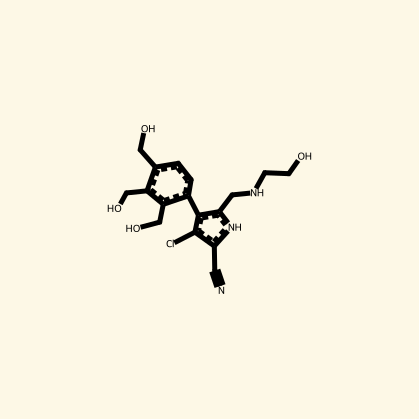 N#Cc1[nH]c(CNCCO)c(-c2ccc(CO)c(CO)c2CO)c1Cl